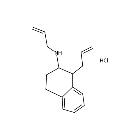 C=CCNC1CCc2ccccc2C1CC=C.Cl